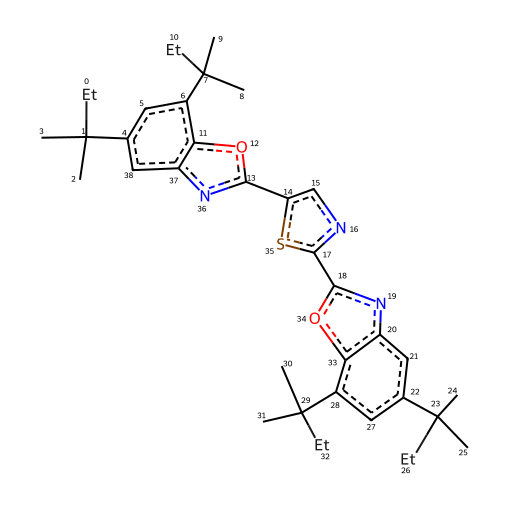 CCC(C)(C)c1cc(C(C)(C)CC)c2oc(-c3cnc(-c4nc5cc(C(C)(C)CC)cc(C(C)(C)CC)c5o4)s3)nc2c1